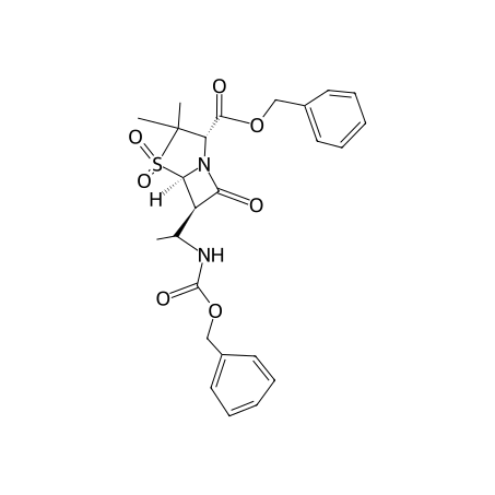 CC(NC(=O)OCc1ccccc1)[C@@H]1C(=O)N2[C@@H](C(=O)OCc3ccccc3)C(C)(C)S(=O)(=O)[C@H]12